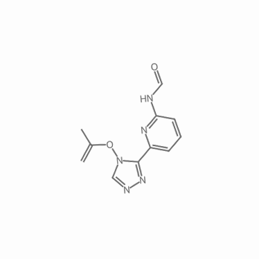 C=C(C)On1cnnc1-c1cccc(NC=O)n1